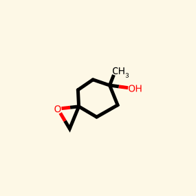 CC1(O)CCC2(CC1)CO2